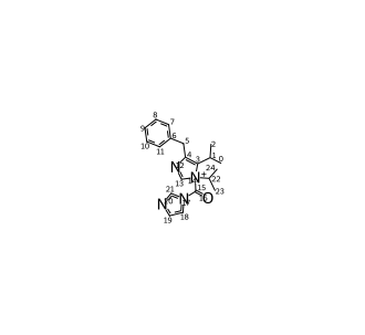 CC(C)C1=C(Cc2ccccc2)N=C[N+]1(C(=O)n1ccnc1)C(C)C